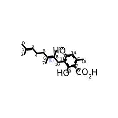 CC(C)=CCC/C(C)=C(\C)Cc1c(O)cc(C)c(C(=O)O)c1O